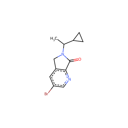 CC(C1CC1)N1Cc2cc(Br)cnc2C1=O